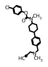 C#CCN(C)Cc1ccc(C2CCC(N(C)C(=O)Oc3ccc(Cl)cc3)CC2)cc1